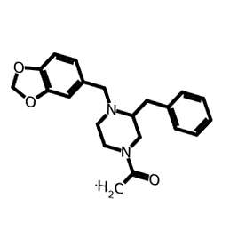 [CH2]C(=O)N1CCN(Cc2ccc3c(c2)OCO3)C(Cc2ccccc2)C1